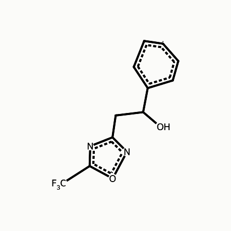 OC(Cc1noc(C(F)(F)F)n1)c1cc[c]cc1